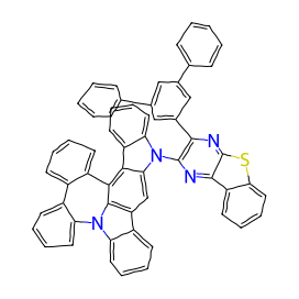 c1ccc(-c2cc(-c3ccccc3)cc(-c3nc4sc5ccccc5c4nc3-n3c4ccccc4c4c5c6c(cc43)c3ccccc3n6-c3ccccc3-c3ccccc3-5)c2)cc1